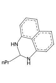 CCCC1Nc2cccc3cccc(c23)N1